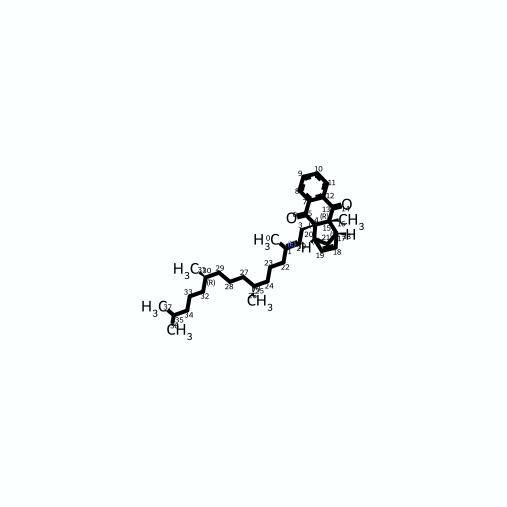 C/C(=C\C[C@@]12C(=O)c3ccccc3C(=O)[C@]1(C)[C@@H]1C=C[C@H]2C1)CCC[C@H](C)CCC[C@H](C)CCCC(C)C